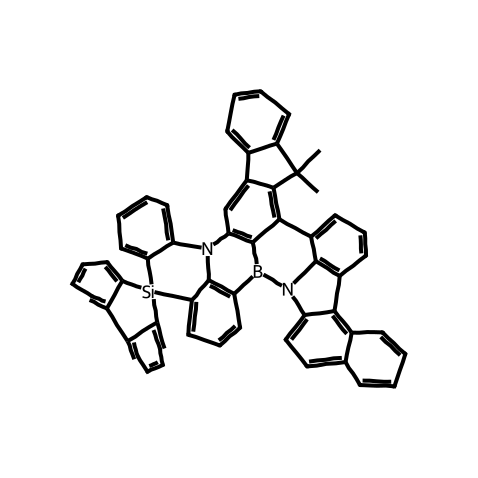 CC1(C)c2ccccc2-c2cc3c4c(c21)-c1cccc2c5c6ccccc6ccc5n(c12)B4c1cccc2c1N3c1ccccc1[Si]21c2ccccc2-c2ccccc21